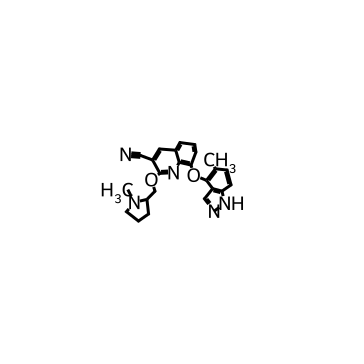 Cc1ccc2[nH]ncc2c1Oc1cccc2cc(C#N)c(OCC3CCCN3C)nc12